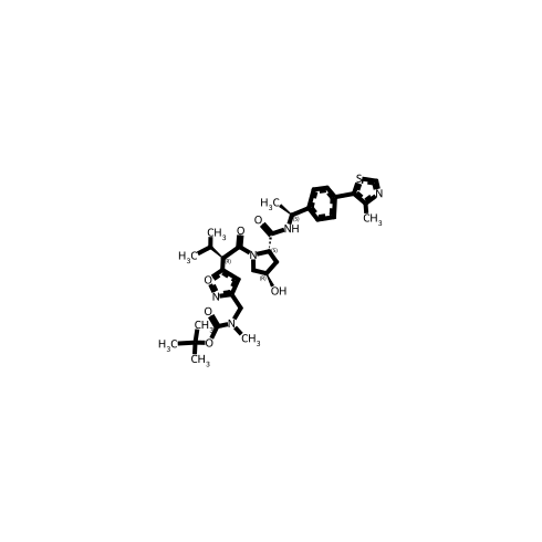 Cc1ncsc1-c1ccc([C@H](C)NC(=O)[C@@H]2C[C@@H](O)CN2C(=O)[C@@H](c2cc(CN(C)C(=O)OC(C)(C)C)no2)C(C)C)cc1